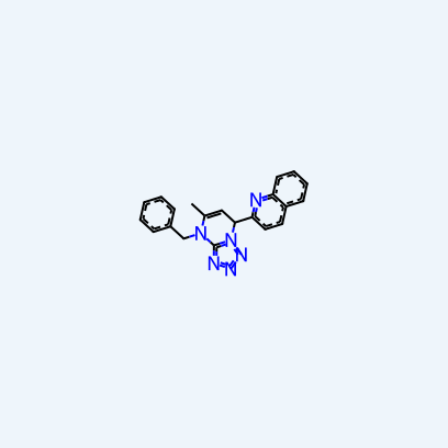 CC1=CC(c2ccc3ccccc3n2)n2nnnc2N1Cc1ccccc1